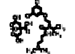 CC(C)N(CCOc1cc(Cl)cc(Cl)c1)C(=O)NCCCN(C)C.O=C(O)CC(O)(CC(=O)O)C(=O)O